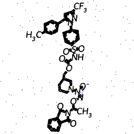 Cc1ccc(-c2cc(C(F)(F)F)nn2-c2ccc(S(=O)(=O)NC(=O)OCC3CCCN(/[N+]([O-])=N\OC(C)N4C(=O)c5ccccc5C4=O)C3)cc2)cc1